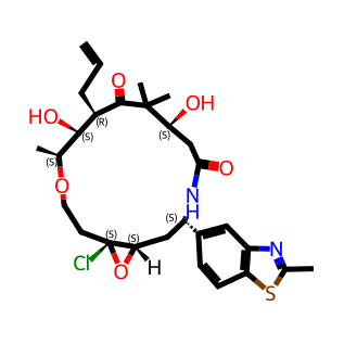 C=CC[C@H]1C(=O)C(C)(C)[C@@H](O)CC(=O)N[C@H](c2ccc3sc(C)nc3c2)C[C@@H]2O[C@]2(Cl)CCO[C@@H](C)[C@H]1O